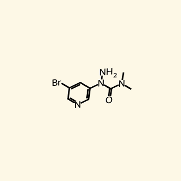 CN(C)C(=O)N(N)c1cncc(Br)c1